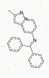 Cc1cc2cc(N=C(c3ccccc3)c3ccccc3)ccn2n1